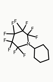 FC1(F)N(C2CCCCC2)C(F)(F)C(F)(F)C(F)(F)C1(F)F